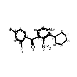 Nc1c(C(=O)c2ccc(F)cc2F)ccnc1C1CCCCC1